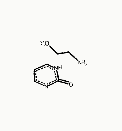 NCCO.O=c1nccc[nH]1